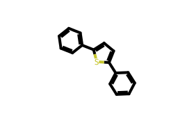 c1ccc(-c2ccc(-c3ccccc3)s2)cc1